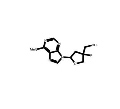 CNc1ncnc2c1ncn2C1CC(F)(CO)CO1